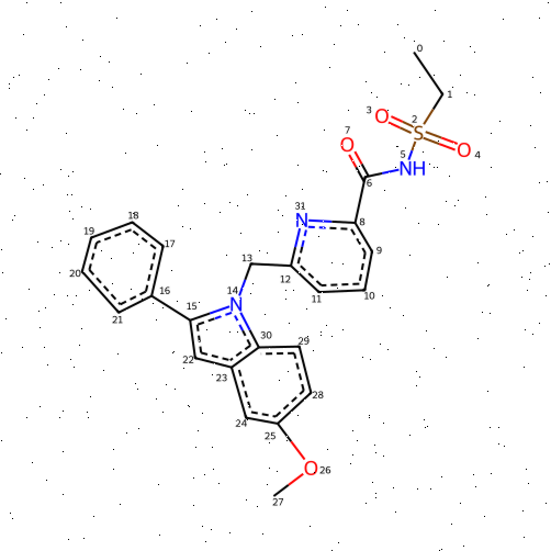 CCS(=O)(=O)NC(=O)c1cccc(Cn2c(-c3ccccc3)cc3cc(OC)ccc32)n1